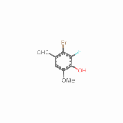 COc1cc(C=O)c(Br)c(F)c1O